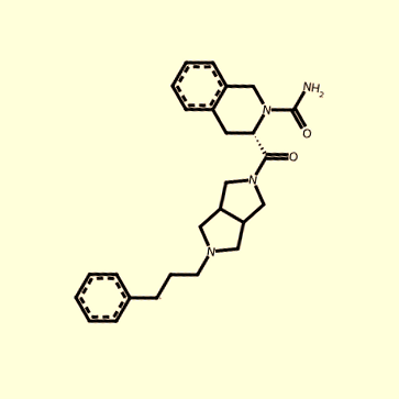 NC(=O)N1Cc2ccccc2C[C@H]1C(=O)N1CC2CN(CC[CH]c3ccccc3)CC2C1